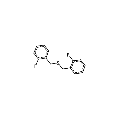 Fc1ccccc1CSCc1ccccc1F